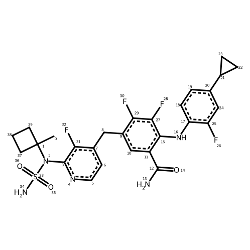 CC1(N(c2nccc(Cc3cc(C(N)=O)c(Nc4ccc(C5CC5)cc4F)c(F)c3F)c2F)S(N)(=O)=O)CCC1